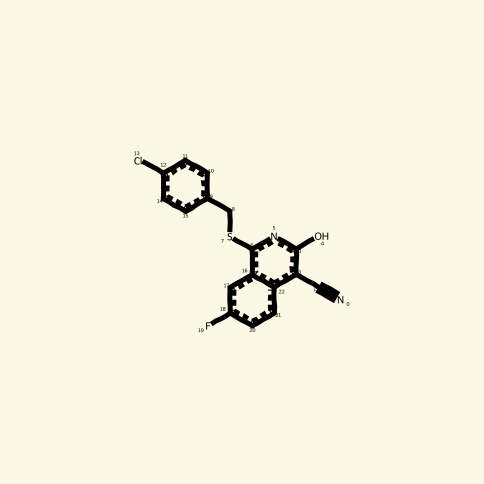 N#Cc1c(O)nc(SCc2ccc(Cl)cc2)c2cc(F)ccc12